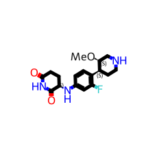 CO[C@@H]1CNCC[C@H]1c1ccc(N[C@H]2CCC(=O)NC2=O)cc1F